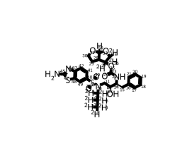 [2H]C([2H])([2H])C([2H])([2H])C([2H])([2H])N(C[C@@H](O)[C@H](Cc1ccccc1)NC(=O)O[C@]1([2H])C2CCO[C@@H]2OC1([2H])[2H])S(=O)(=O)c1ccc2nc(N)sc2c1